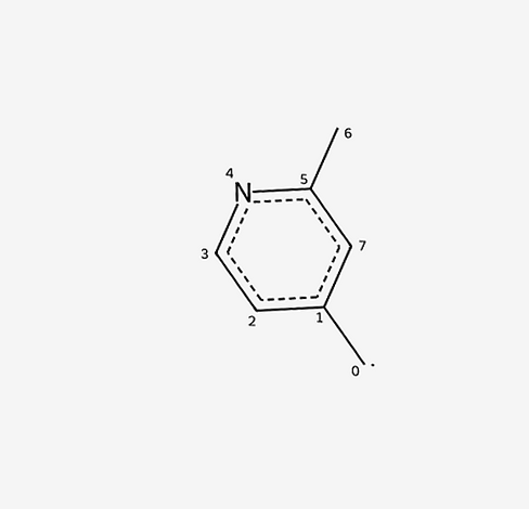 [CH2]c1ccnc(C)c1